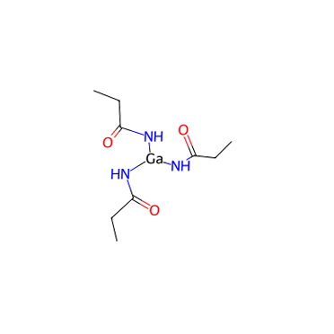 CCC(=O)[NH][Ga]([NH]C(=O)CC)[NH]C(=O)CC